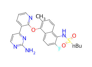 CCCCS(=O)(=O)Nc1c(F)ccc2c(Oc3ncccc3-c3ccnc(N)n3)c(C)ccc12